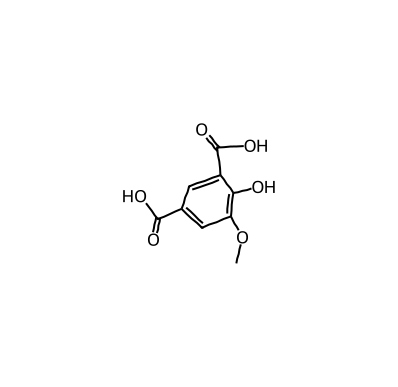 COc1cc(C(=O)O)cc(C(=O)O)c1O